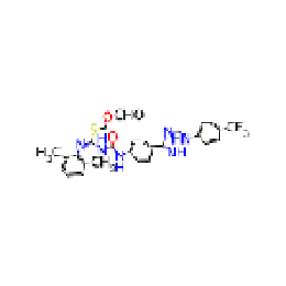 Cc1cccc(C)c1/N=C(\NC(=O)Nc1ccc(C(=N)/N=C\Nc2ccc(C(F)(F)F)cc2)cc1)SCOC=O